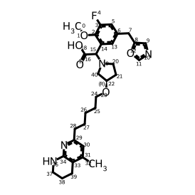 COc1c(F)cc(Cc2cnco2)cc1C(C(=O)O)N1CC[C@@H](OCCCCCc2cc(C)c3c(n2)NCCC3)C1